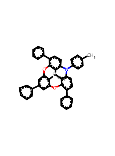 Cc1ccc(N2c3ccc(-c4ccccc4)c4c3[Si]3(C)c5c(cc(-c6ccccc6)cc5Oc5c(-c6ccccc6)ccc2c53)O4)cc1